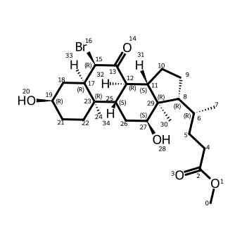 COC(=O)CC[C@@H](C)[C@H]1CC[C@H]2[C@@H]3C(=O)[C@H](Br)[C@@H]4C[C@H](O)CC[C@]4(C)[C@H]3C[C@H](O)[C@]12C